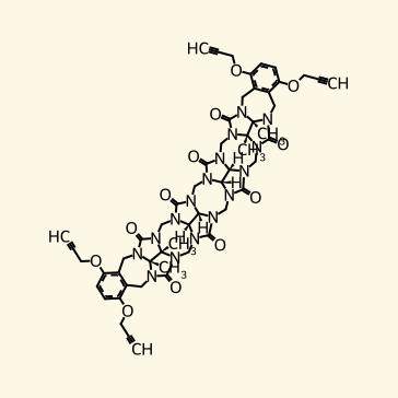 C#CCOc1ccc(OCC#C)c2c1CN1C(=O)N3CN4C(=O)N5CN6C(=O)N7CN8C(=O)N9Cc%10c(OCC#C)ccc(OCC#C)c%10CN%10C(=O)N(CN%11C(=O)N(CN%12C(=O)N(CN%13C(=O)N(C2)[C@]1(C)[C@]%133C)[C@@H]4[C@@H]5%12)[C@@H]6[C@@H]7%11)[C@]8(C)[C@]%109C